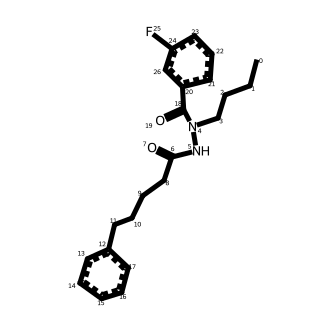 CCCCN(NC(=O)CCCCc1ccccc1)C(=O)c1cccc(F)c1